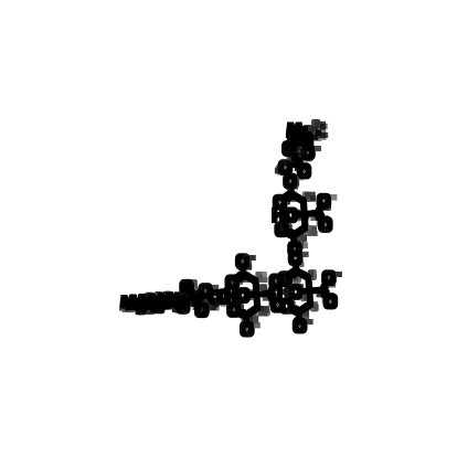 O.O.O=C([O-])CC(O)(CC(=O)[O-])C(=O)[O-].O=C([O-])CC(O)(CC(=O)[O-])C(=O)[O-].O=C([O-])CC(O)(CC(=O)[O-])C(=O)[O-].O=S(=O)([O-])[O-].O=S(=O)([O-])[O-].[Mg+2].[Mg+2].[Mg+2].[Mg+2].[Mg+2].[Na+].[Na+].[Na+]